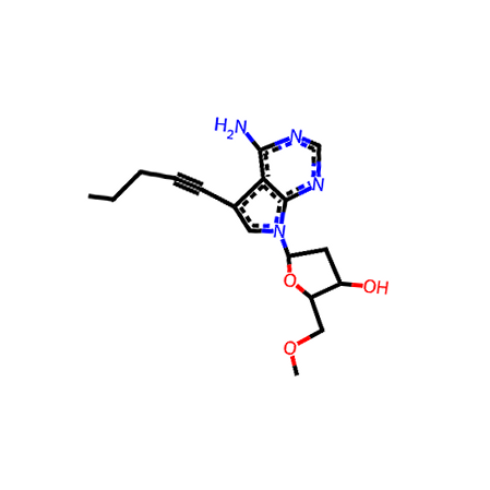 CCCC#Cc1cn(C2CC(O)C(COC)O2)c2ncnc(N)c12